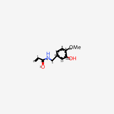 C=CC(=O)NCc1ccc(OC)c(O)c1